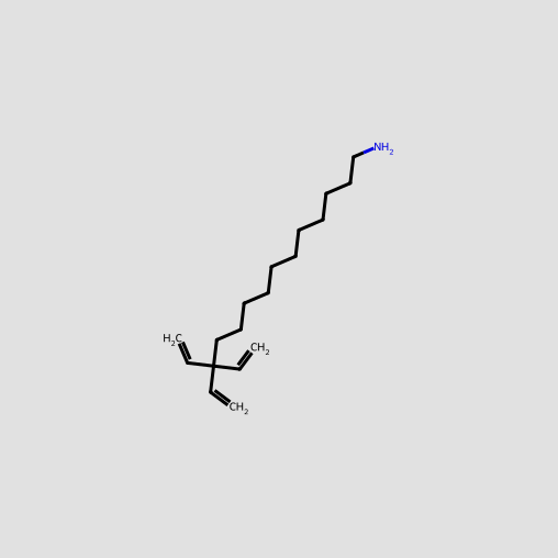 C=CC(C=C)(C=C)CCCCCCCCCCCN